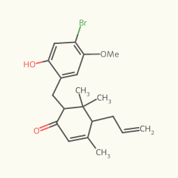 C=CCC1C(C)=CC(=O)C(Cc2cc(OC)c(Br)cc2O)C1(C)C